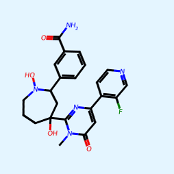 Cn1c(C2(O)CCCN(O)C(c3cccc(C(N)=O)c3)C2)nc(-c2ccncc2F)cc1=O